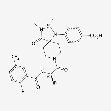 CC(C)[C@@H](NC(=O)c1cc(C(F)(F)F)ccc1F)C(=O)N1CCC2(CC1)C(=O)N(C)[C@H](C)N2c1ccc(C(=O)O)cc1